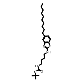 CCCCCCCCCCc1ccc2oc(NCCCCNC(=O)OC(C)(C)C)nc2c1